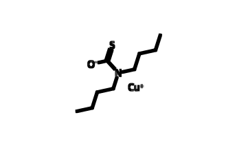 CCCCN(CCCC)C([O-])=S.[Cu+]